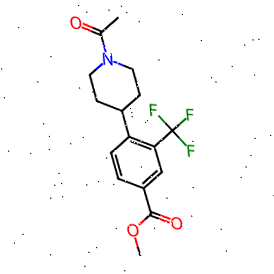 COC(=O)c1ccc(C2CCN(C(C)=O)CC2)c(C(F)(F)F)c1